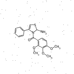 COc1ccc(C(=O)N2C(c3ccccc3)=CSC2N)c(OC)c1OC